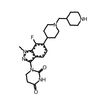 Cn1nc(N2CCC(=O)NC2=O)c2ccc(C3CCN(CC4CCNCC4)CC3)c(F)c21